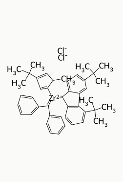 CC1C=C(C(C)(C)C)C=[C]1[Zr+2](=[C](c1ccccc1)c1ccccc1)[CH]1c2ccc(C(C)(C)C)cc2-c2c1cccc2C(C)(C)C.[Cl-].[Cl-]